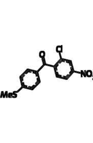 CSc1ccc(C(=O)c2ccc([N+](=O)[O-])cc2Cl)cc1